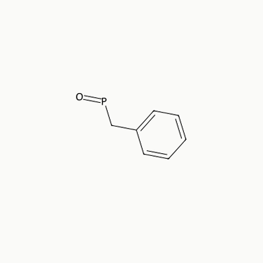 O=PCc1ccccc1